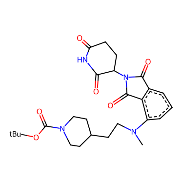 CN(CCC1CCN(C(=O)OC(C)(C)C)CC1)c1cccc2c1C(=O)N(C1CCC(=O)NC1=O)C2=O